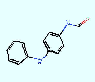 O=CNc1ccc(Nc2ccccc2)cc1